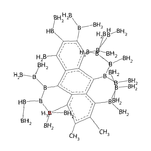 BBB(B(B)B)B(B(B)B)c1c2c(B)c(BB)c(B(B)B)c(B(B)BB)c2c(B(B(B)B)B(B)B(B)B)c2c(B(B)B(B)B)c(C)c(C)c(C)c12